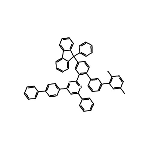 Cc1cnc(C)c(-c2cccc(-c3ccc(C4(c5ccccc5)c5ccccc5-c5ccccc54)cc3-c3nc(-c4ccccc4)nc(-c4ccc(-c5ccccc5)cc4)n3)c2)c1